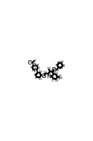 CC(=O)N1CCN(c2cccc(OCc3nc4ccc(F)cc4c(OCc4ccccc4)c3C)c2)CC1